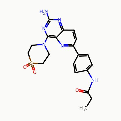 CCC(=O)Nc1ccc(-c2ccc3nc(N)nc(N4CCS(=O)(=O)CC4)c3n2)cc1